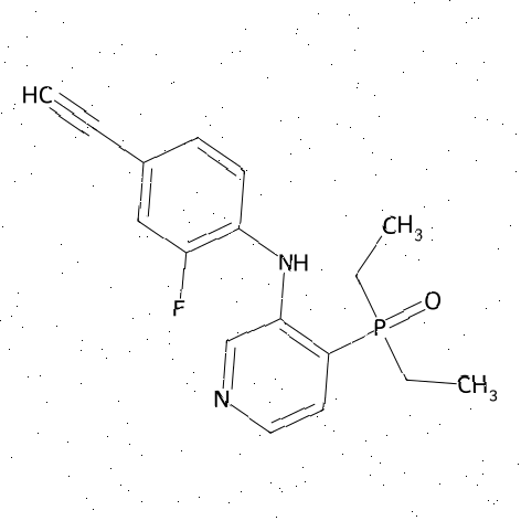 C#Cc1ccc(Nc2cnccc2P(=O)(CC)CC)c(F)c1